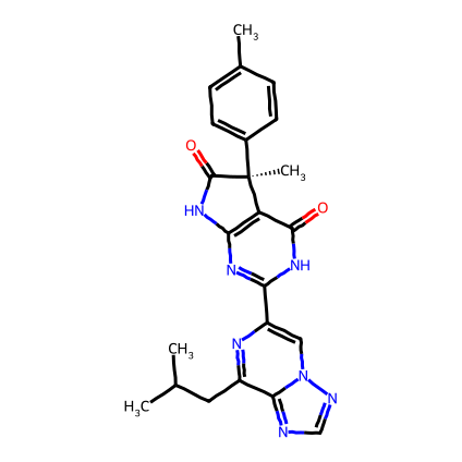 Cc1ccc([C@]2(C)C(=O)Nc3nc(-c4cn5ncnc5c(CC(C)C)n4)[nH]c(=O)c32)cc1